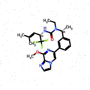 CCN(C(=O)N[C@@H](C=C(C)C)C(F)(F)F)[C@H](C)c1cccc(-c2cn3ccnc3c(OC)n2)c1